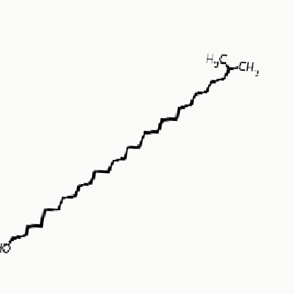 CC(C)CCCCCCCCCCCCCCCCCCCCCCCCCCO